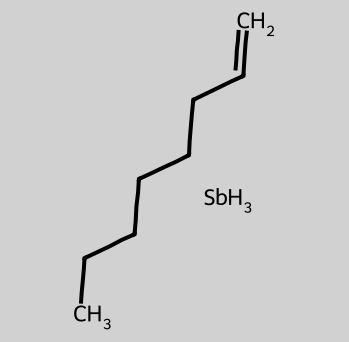 C=CCCCCCC.[SbH3]